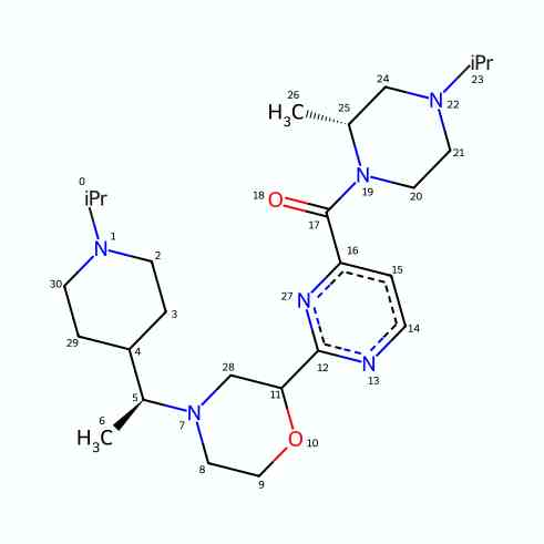 CC(C)N1CCC([C@H](C)N2CCOC(c3nccc(C(=O)N4CCN(C(C)C)C[C@H]4C)n3)C2)CC1